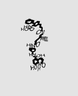 CN(CCCCC(=O)Nc1ccc(CNC[C@H](O)c2ccc(O)c3[nH]c(=O)ccc23)cc1)C(=O)CCCc1ccc(-c2ccccc2)c(NC(=O)O)c1.Cl.Cl